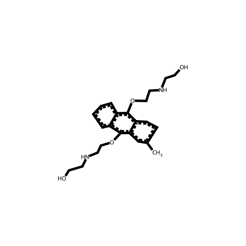 Cc1ccc2c(OCCNCCO)c3ccccc3c(OCCNCCO)c2c1